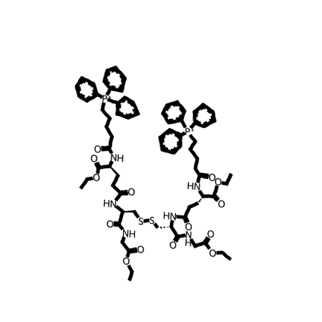 CCOC(=O)CNC(=O)[C@H](CSSC[C@H](NC(=O)CC[C@H](NC(=O)CCCC[P+](c1ccccc1)(c1ccccc1)c1ccccc1)C(=O)OCC)C(=O)NCC(=O)OCC)NC(=O)CC[C@H](NC(=O)CCCC[P+](c1ccccc1)(c1ccccc1)c1ccccc1)C(=O)OCC